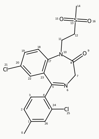 Cc1ccc(C2=NCC(=O)N(CCS(C)(=O)=O)c3ccc(Cl)cc32)c(Cl)c1